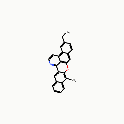 Cc1c2c(cc3ccccc13)-c1nccc3c1c(cc1ccc(CC(C)(C)C)cc13)O2